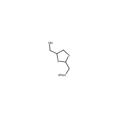 CCCCCCC1SCC(CO)S1